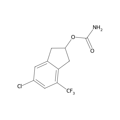 NC(=O)OC1Cc2cc(Cl)cc(C(F)(F)F)c2C1